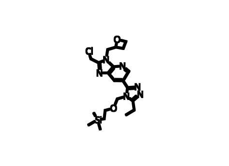 CCc1nnc(-c2cnc3c(c2)nc(CCl)n3CC2CCO2)n1COCC[Si](C)(C)C